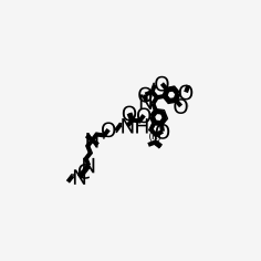 C=C(C)[C@H]1Cc2c(ccc(C3=NOC4COc5cc(OC)c(OC)cc5C34)c2OCC(=O)NCCOCC[N+](C)(C)CCCN=C=NCC)O1